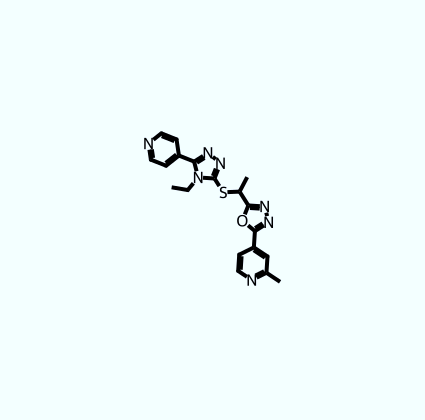 CCn1c(SC(C)c2nnc(-c3ccnc(C)c3)o2)nnc1-c1ccncc1